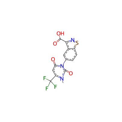 Cn1c(C(F)(F)F)cc(=O)n(-c2ccc3snc(C(=O)O)c3c2)c1=O